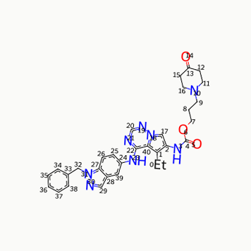 CCc1c(NC(=O)OCCCN2CCC(=O)CC2)cn2ncnc(Nc3ccc4c(cnn4Cc4ccccc4)c3)c12